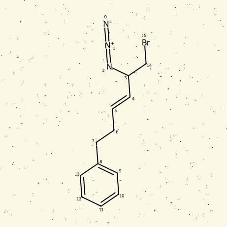 [N-]=[N+]=NC(C=CCCc1ccccc1)CBr